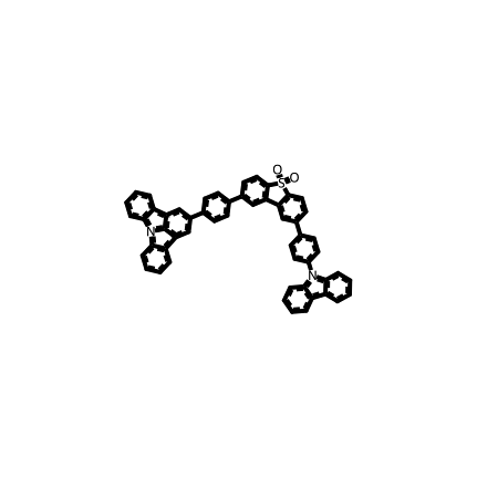 O=S1(=O)c2ccc(-c3ccc(-c4cc5c6ccccc6n6c7ccccc7c(c4)c56)cc3)cc2-c2cc(-c3ccc(-n4c5ccccc5c5ccccc54)cc3)ccc21